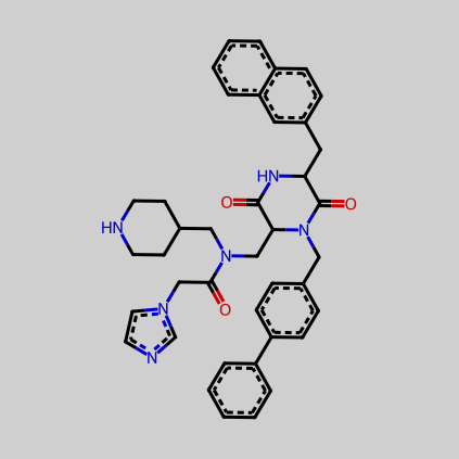 O=C1NC(Cc2ccc3ccccc3c2)C(=O)N(Cc2ccc(-c3ccccc3)cc2)C1CN(CC1CCNCC1)C(=O)Cn1ccnc1